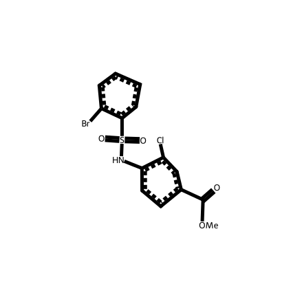 COC(=O)c1ccc(NS(=O)(=O)c2ccccc2Br)c(Cl)c1